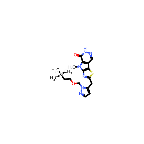 Cn1c2nc(Cc3ccnn3COCC[Si](C)(C)C)sc2c2cn[nH]c(=O)c21